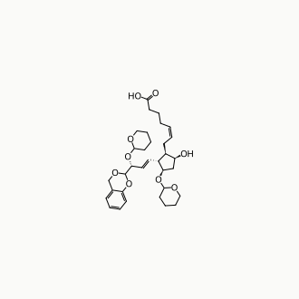 O=C(O)CCC/C=C\C[C@@H]1[C@@H](/C=C/[C@@H](OC2CCCCO2)C2OCc3ccccc3O2)[C@H](OC2CCCCO2)C[C@@H]1O